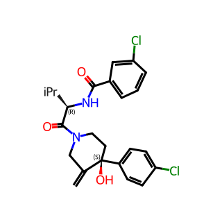 C=C1CN(C(=O)[C@H](NC(=O)c2cccc(Cl)c2)C(C)C)CC[C@]1(O)c1ccc(Cl)cc1